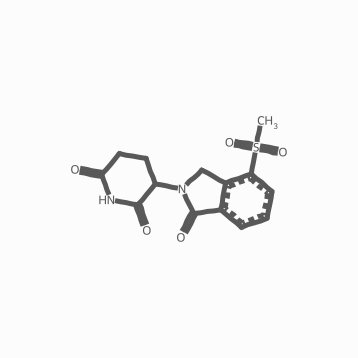 CS(=O)(=O)c1cccc2c1CN(C1CCC(=O)NC1=O)C2=O